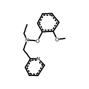 CCN(Cc1ccccn1)Oc1ccccc1OC